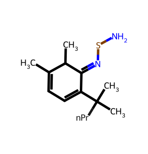 CCCC(C)(C)C1=CC=C(C)C(C)/C1=N\SN